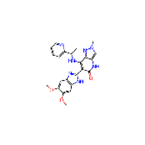 COc1cc2nc(-c3c(NC(C)c4ccccn4)c4nn(C)cc4[nH]c3=O)[nH]c2cc1OC